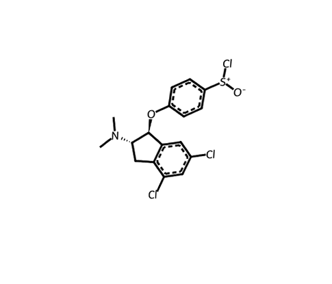 CN(C)[C@H]1Cc2c(Cl)cc(Cl)cc2[C@@H]1Oc1ccc([S+]([O-])Cl)cc1